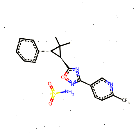 CC1(C)[C@@H](c2ccccc2)[C@@H]1c1nc(-c2ccc(C(F)(F)F)nc2)no1.N[SH](=O)=O